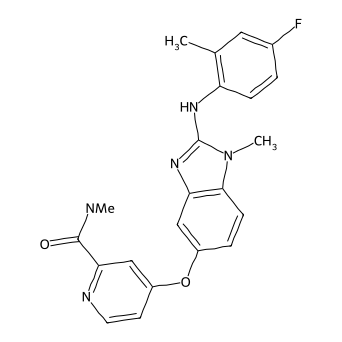 CNC(=O)c1cc(Oc2ccc3c(c2)nc(Nc2ccc(F)cc2C)n3C)ccn1